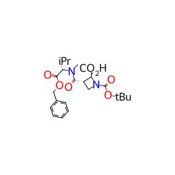 CC(C)[C@@H](C(=O)OCc1ccccc1)N(C)C(=O)[C@H]1CN(C(=O)OC(C)(C)C)[C@@H]1C(=O)O